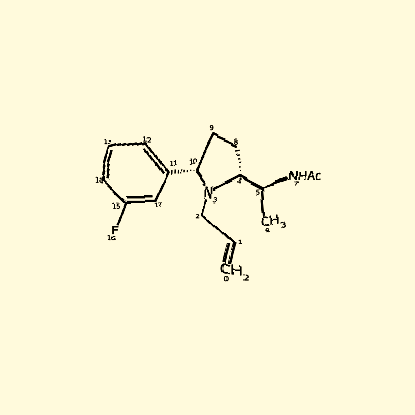 C=CCN1[C@@H]([C@H](C)NC(C)=O)CC[C@H]1c1cccc(F)c1